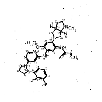 C=CC(=O)Nc1cc(Nc2cc(N3OCC[C@@H]3c3cccc(F)c3F)ncn2)c(OC)cc1N1C[C@@H]2CCN(C)[C@@H]2C1